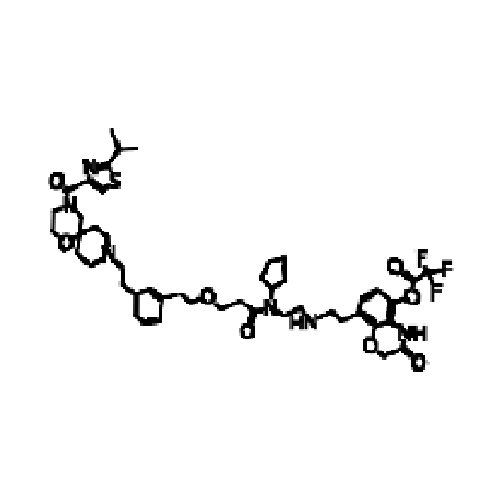 CC(C)c1nc(C(=O)N2CCOC3(CCN(CCc4cccc(CCOCCC(=O)N(CCNCCc5ccc(OC(=O)C(F)(F)F)c6c5OCC(=O)N6)C5CCCC5)c4)CC3)C2)cs1